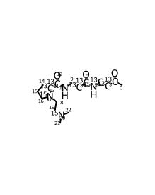 C[13C](=O)[13CH2][13CH2][15NH][13C](=O)[13CH2]CN[13C](=O)[13CH]1CCC[15N]1CC[15N](C)C